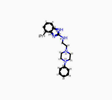 CC(C)c1cccc2[nH]c(NCCN3CCN(c4ccccc4)CC3)nc12